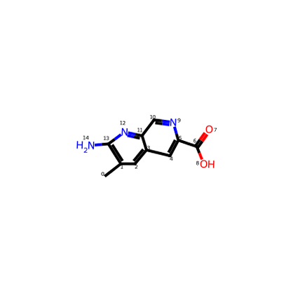 Cc1cc2cc(C(=O)O)ncc2nc1N